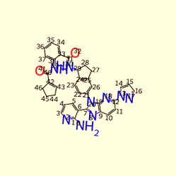 Nc1ncccc1-c1nc2ccc(-n3cccn3)nc2n1-c1ccc2c(c1)CC[C@@H]2NC(=O)c1ccccc1NC(=O)C1=CCCC1